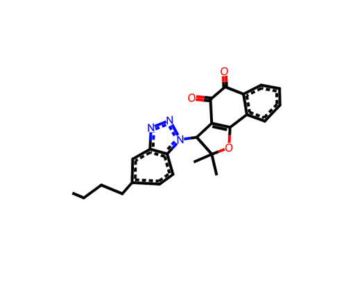 CCCCc1ccc2c(c1)nnn2C1C2=C(OC1(C)C)c1ccccc1C(=O)C2=O